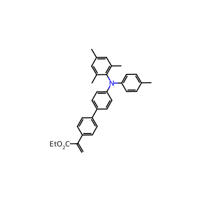 C=C(C(=O)OCC)c1ccc(-c2ccc(N(c3ccc(C)cc3)c3c(C)cc(C)cc3C)cc2)cc1